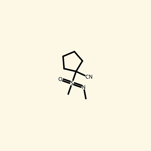 CN=S(C)(=O)C1(C#N)CCCC1